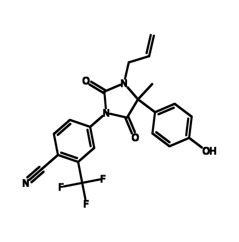 C=CCN1C(=O)N(c2ccc(C#N)c(C(F)(F)F)c2)C(=O)C1(C)c1ccc(O)cc1